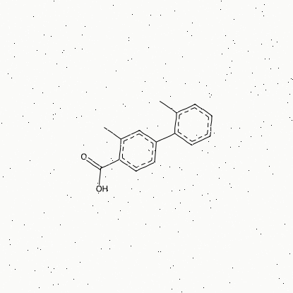 Cc1cc(-c2ccccc2C)ccc1C(=O)O